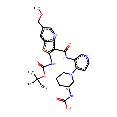 COCc1cnc2c(C(=O)Nc3cnccc3N3CCC[C@H](NC(=O)O)C3)c(NC(=O)OC(C)(C)C)sc2c1